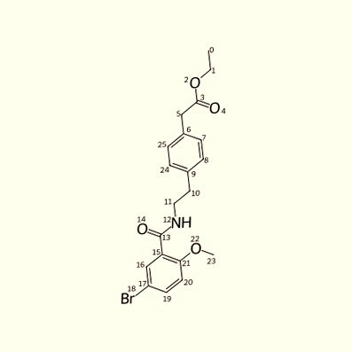 CCOC(=O)Cc1ccc(CCNC(=O)c2cc(Br)ccc2OC)cc1